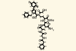 CNC(=O)C(CCN(C(=O)CO)C(c1cc(-c2cc(F)ccc2F)cn1Cc1ccccc1)C(C)(C)C)NC(=O)C(CC(N)=O)NC(=O)C(C)N(C)C(=O)CNC(=O)Cc1ccncc1